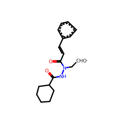 O=[C]CN(NC(=O)C1CCCCC1)C(=O)C=Cc1ccccc1